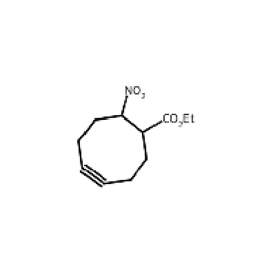 CCOC(=O)C1CCC#CCCC1[N+](=O)[O-]